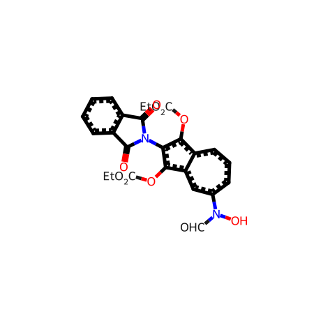 CCOC(=O)Oc1c2cccc(N(O)C=O)cc-2c(OC(=O)OCC)c1N1C(=O)c2ccccc2C1=O